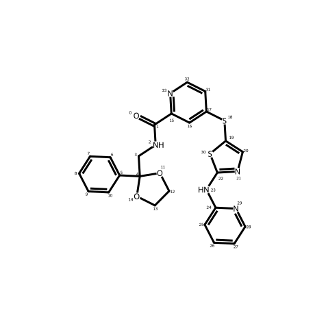 O=C(NCC1(c2ccccc2)OCCO1)c1cc(Sc2cnc(Nc3ccccn3)s2)ccn1